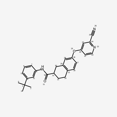 CC(C)(C)c1cccc(NC(=O)C2CCc3ccc(Oc4ccnc(C#N)c4)cc3C2)c1